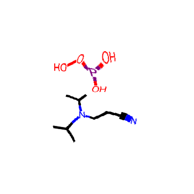 CC(C)N(CCC#N)C(C)C.OOP(O)O